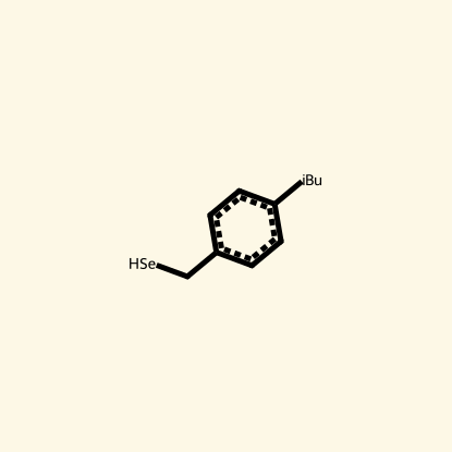 CCC(C)c1ccc(C[SeH])cc1